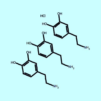 Cl.NCCc1ccc(O)c(O)c1.NCCc1ccc(O)c(O)c1.NCCc1ccc(O)c(O)c1